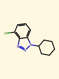 Clc1cccc2c1nnn2C1CCCCC1